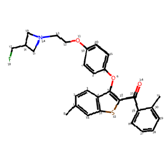 Cc1ccc2c(Oc3ccc(OCCN4CC(CF)C4)cc3)c(C(=O)c3ccccc3C)sc2c1